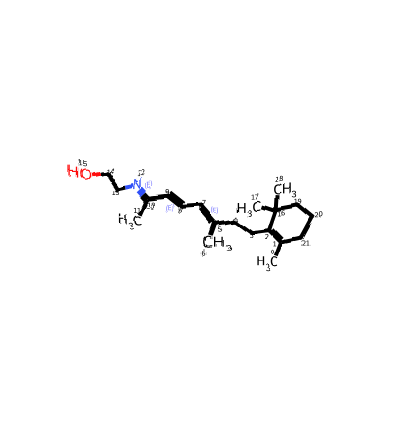 CC1=C(CC/C(C)=C/C=C/C(C)=N/CCO)C(C)(C)CCC1